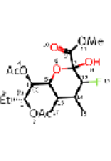 CC[C@@H](OC(C)=O)[C@@H](OC(C)=O)C1OC(O)(C(=O)OC)C(F)C(C)C1C